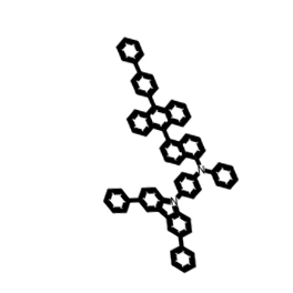 c1ccc(-c2ccc(-c3c4ccccc4c(-c4cccc5c(N(c6ccccc6)c6ccc(-n7c8ccc(-c9ccccc9)cc8c8cc(-c9ccccc9)ccc87)cc6)cccc45)c4ccccc34)cc2)cc1